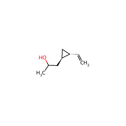 C=C[C@H]1C[C@@H]1CC(C)O